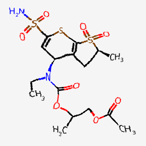 CCN(C(=O)OC(C)COC(C)=O)[C@H]1C=C(S(N)(=O)=O)SC2=C1C[C@H](C)S2(=O)=O